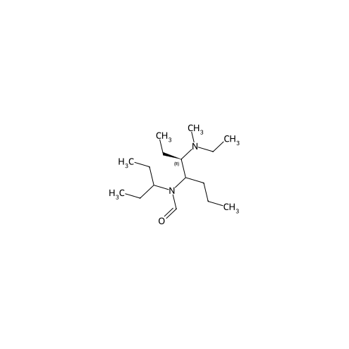 CCCC([C@@H](CC)N(C)CC)N(C=O)C(CC)CC